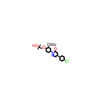 COc1cc(-n2ncc(-c3ccc(Cl)cc3)cc2=O)ccc1OCC(C)(C)O